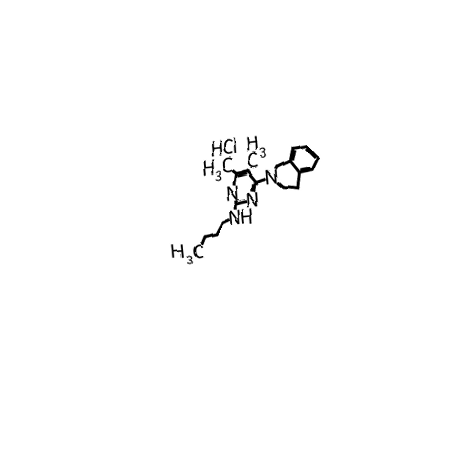 CCCCNc1nc(C)c(C)c(N2CCc3ccccc3C2)n1.Cl